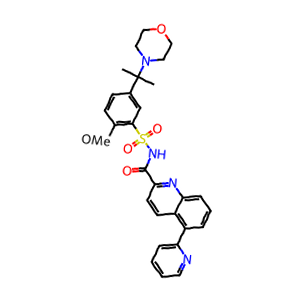 COc1ccc(C(C)(C)N2CCOCC2)cc1S(=O)(=O)NC(=O)c1ccc2c(-c3ccccn3)cccc2n1